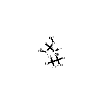 CCC(CC)(CC)C(O)(O)O.CCOC(C)(OCC)OCC